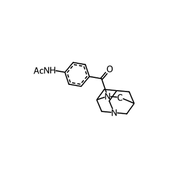 CC(=O)Nc1ccc(C(=O)N2CC3CC4CC2CN(C4)C3)cc1